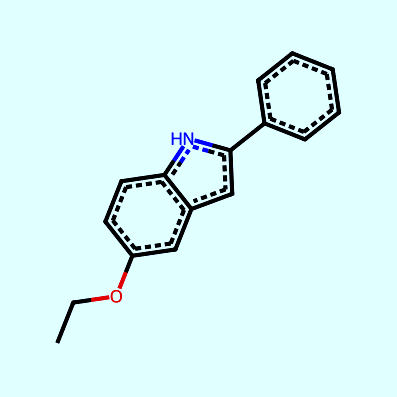 CCOc1ccc2[nH]c(-c3ccccc3)cc2c1